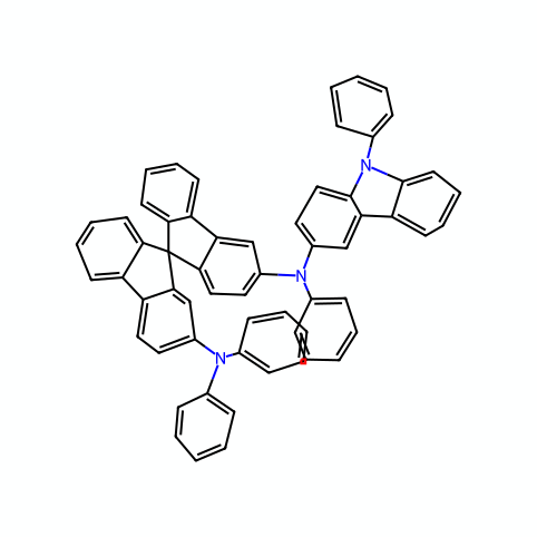 c1ccc(N(c2ccccc2)c2ccc3c(c2)C2(c4ccccc4-c4cc(N(c5ccccc5)c5ccc6c(c5)c5ccccc5n6-c5ccccc5)ccc42)c2ccccc2-3)cc1